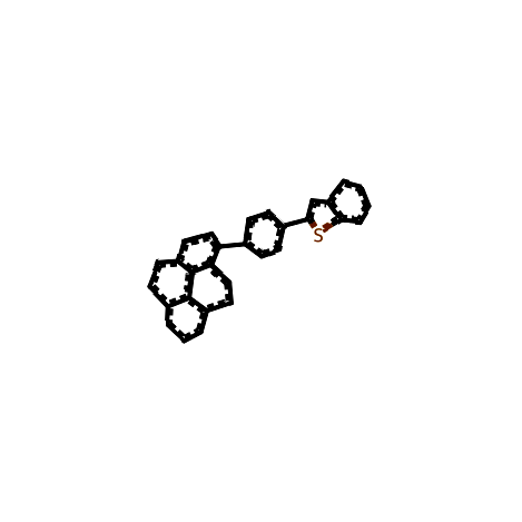 c1ccc2sc(-c3ccc(-c4ccc5ccc6cccc7ccc4c5c67)cc3)cc2c1